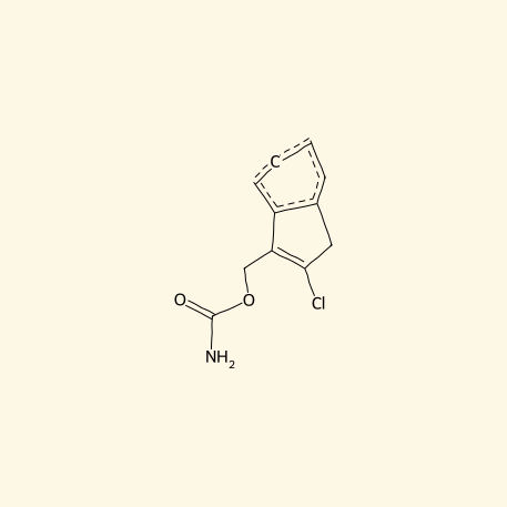 NC(=O)OCC1=C(Cl)Cc2ccccc21